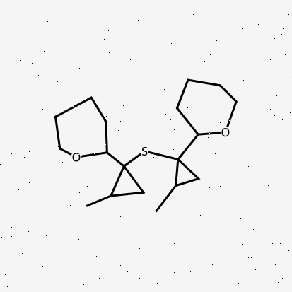 CC1CC1(SC1(C2CCCCO2)CC1C)C1CCCCO1